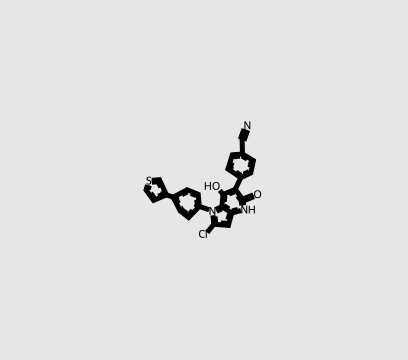 N#Cc1ccc(-c2c(O)c3c(cc(Cl)n3-c3ccc(-c4ccsc4)cc3)[nH]c2=O)cc1